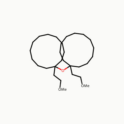 COCCC1(OC2(CCOC)CCCCCCCCCCC2)CCCCCCCCCCC1